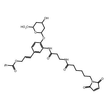 CC(C)C(=O)OC/C=C/c1ccc(OC2CC(O)CC(C(=O)O)O2)c(NC(=O)CCNC(=O)CCCCCN2C(=O)C=CC2=O)c1